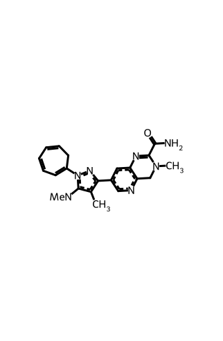 CNc1c(C)c(-c2cnc3c(c2)N=C(C(N)=O)N(C)C3)nn1C1=CC=CC=CC1